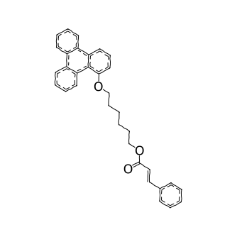 O=C(C=Cc1ccccc1)OCCCCCCOc1cccc2c3ccccc3c3ccccc3c12